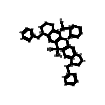 CC1(C)c2cc3c(cc2[C+](c2ccccc2C(=O)[O-])c2cc4c(cc21)N(Cc1ccccc1)CCC4)CCCN3Cc1ccccc1